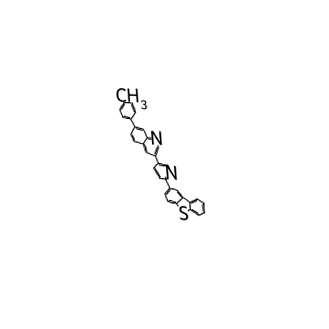 Cc1ccc(-c2ccc3cc(-c4ccc(-c5ccc6sc7ccccc7c6c5)nc4)cnc3c2)cc1